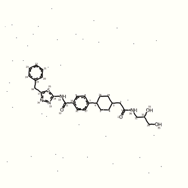 O=C(CC1CCC(c2ccc(C(=O)Nc3nnc(Cc4ccccc4)s3)cc2)CC1)NCC(O)CO